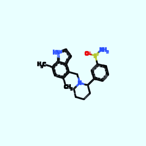 Cc1cc(C)c2[nH]ccc2c1CN1CCCCC1c1cccc([S+](N)[O-])c1